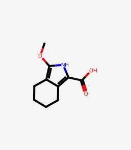 COc1[nH]c(C(=O)O)c2c1CCCC2